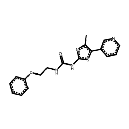 Cc1nc(NC(=O)NCCOc2ccccc2)sc1-c1cccnc1